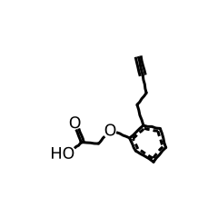 C#CCCc1ccccc1OCC(=O)O